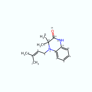 CC(C)=CCN1c2ccccc2NC(=O)C1(C)C